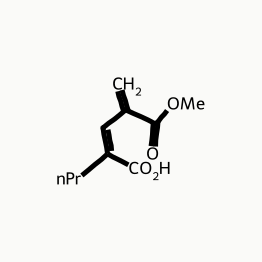 C=C(C=C(CCC)C(=O)O)C(=O)OC